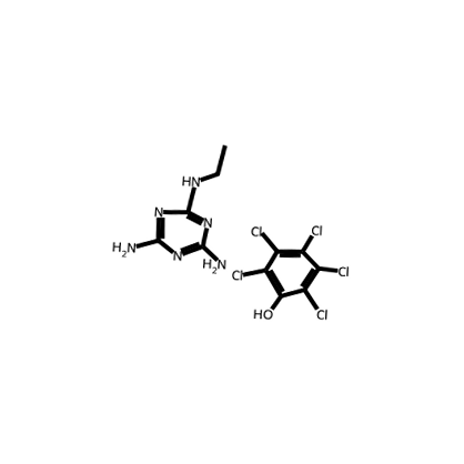 CCNc1nc(N)nc(N)n1.Oc1c(Cl)c(Cl)c(Cl)c(Cl)c1Cl